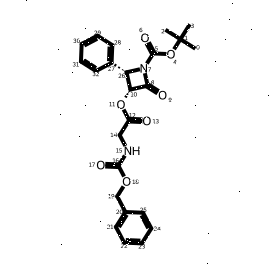 CC(C)(C)OC(=O)N1C(=O)[C@H](OC(=O)CNC(=O)OCc2ccccc2)[C@@H]1c1ccccc1